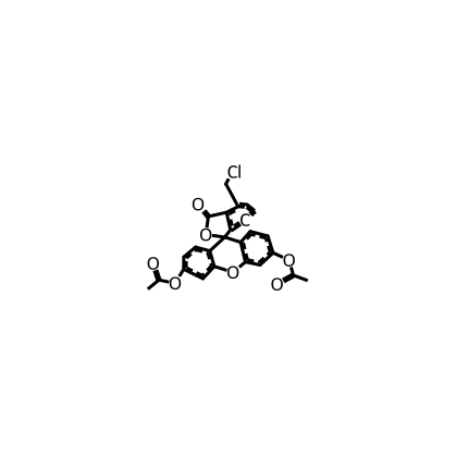 CC(=O)Oc1ccc2c(c1)Oc1cc(OC(C)=O)ccc1C21OC(=O)c2c(CCl)cccc21